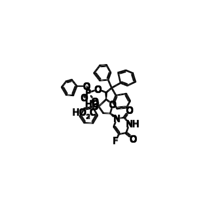 O=C(O)[C@]1(O)C[C@H](n2cc(F)c(=O)[nH]c2=O)O[C@@H]1C(OP(=O)(Oc1ccccc1)Oc1ccccc1)C(c1ccccc1)(c1ccccc1)c1ccccc1